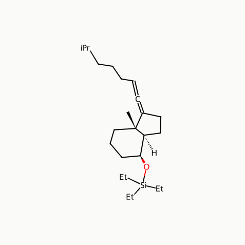 CC[Si](CC)(CC)O[C@H]1CCC[C@]2(C)C(=C=CCCCC(C)C)CC[C@@H]12